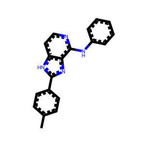 Cc1ccc(-c2nc3c(Nc4ccccc4)nccc3[nH]2)cc1